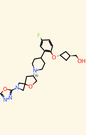 OC[C@H]1C[C@H](Oc2ccc(F)cc2C2CCN([C@@H]3COC4(C3)CN(c3nnco3)C4)CC2)C1